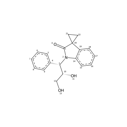 O=C1N([C@@H](c2ccccc2)[C@H](O)CO)c2ccccc2C12CC2